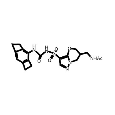 CC(=O)NCC1COc2c(S(=O)(=O)NC(=O)Nc3c4c(cc5c3CC5)CC4)cnn2C1